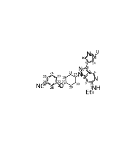 CCNc1cc2c(cn1)c(-c1cnn(C)c1)nn2C1CCC(Oc2cccc(C#N)c2)CC1